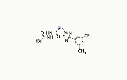 Cc1cc(-c2ncn(/C=C\C(=O)NNC(=O)C(C)(C)C)n2)cc(C(F)(F)F)c1